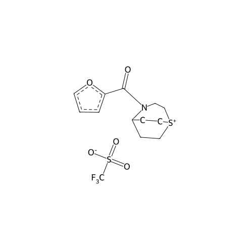 O=C(c1ccco1)N1CC[S+]2CCC1CC2.O=S(=O)([O-])C(F)(F)F